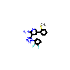 CSc1ccccc1-c1cnc(N)c(-c2nnnn2-c2cccc(F)c2F)c1